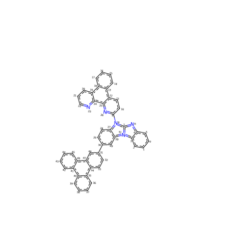 c1ccc2c(c1)nc1n(-c3ccc4c5ccccc5c5cccnc5c4n3)c3ccc(-c4ccc5c6ccccc6c6ccccc6c5c4)cc3n21